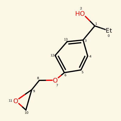 CCC(O)c1ccc(OCC2CO2)cc1